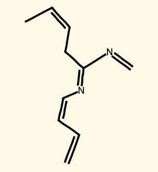 C=C/C=C\N=C(/C/C=C\C)N=C